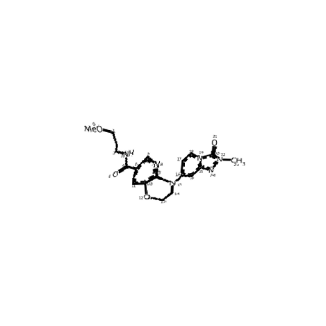 COCCNC(=O)c1cnc2c(c1)OCCN2c1ccn2c(=O)n(C)nc2c1